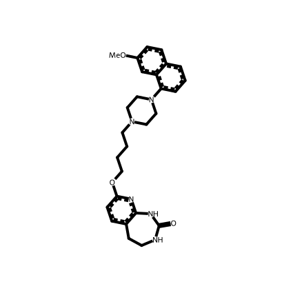 COc1ccc2cccc(N3CCN(CCCCOc4ccc5c(n4)NC(=O)NCC5)CC3)c2c1